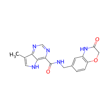 Cc1c[nH]c2c(C(=O)NCc3ccc4c(c3)NC(=O)CO4)ncnc12